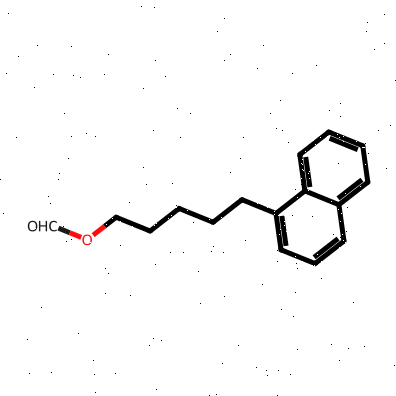 O=COCCCCCc1cccc2ccccc12